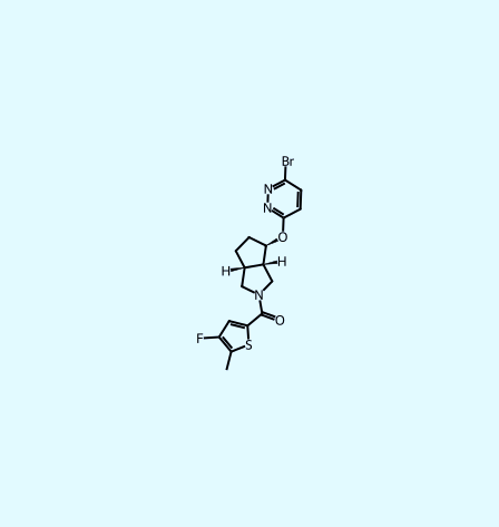 Cc1sc(C(=O)N2C[C@@H]3CC[C@@H](Oc4ccc(Br)nn4)[C@@H]3C2)cc1F